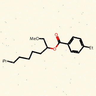 CCc1ccc(C(=O)OC(CCCCCC(C)C)COC)cc1